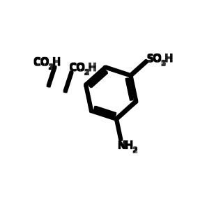 CC(=O)O.CC(=O)O.Nc1cccc(S(=O)(=O)O)c1